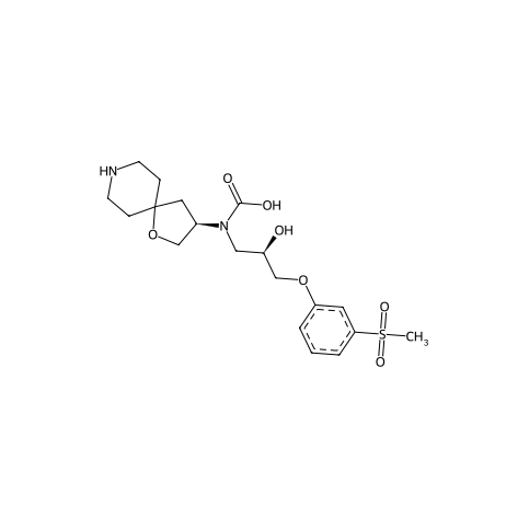 CS(=O)(=O)c1cccc(OC[C@H](O)CN(C(=O)O)[C@H]2COC3(CCNCC3)C2)c1